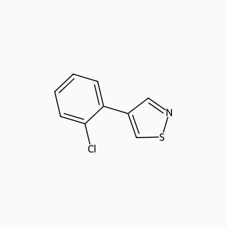 Clc1ccccc1-c1cnsc1